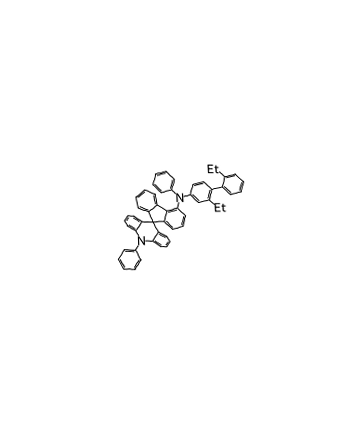 CCc1ccccc1-c1ccc(N(c2ccccc2)c2cccc3c2-c2ccccc2C32c3ccccc3N(c3ccccc3)c3ccccc32)cc1CC